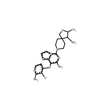 CC1OCC2(CCN(c3nc(N)c(Sc4ccnc(N)c4Cl)c4nccn34)CC2)C1N